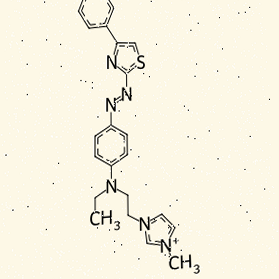 CCN(CCn1cc[n+](C)c1)c1ccc(N=Nc2nc(-c3ccccc3)cs2)cc1